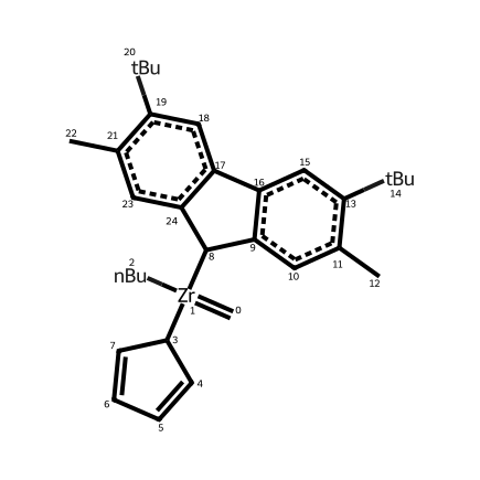 [CH2]=[Zr]([CH2]CCC)([CH]1C=CC=C1)[CH]1c2cc(C)c(C(C)(C)C)cc2-c2cc(C(C)(C)C)c(C)cc21